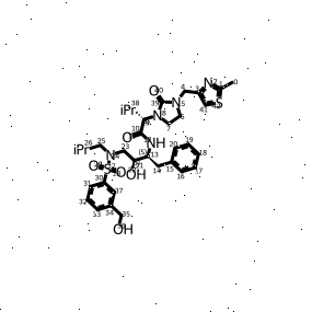 Cc1nc(CN2CCN([C@H](C(=O)N[C@@H](Cc3ccccc3)[C@@H](O)CN(CC(C)C)S(=O)(=O)c3cccc(CO)c3)C(C)C)C2=O)cs1